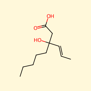 CC=CC(O)(CCCCC)CC(=O)O